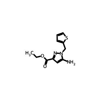 CCOC(=O)c1cc(N)n(Cc2cccs2)n1